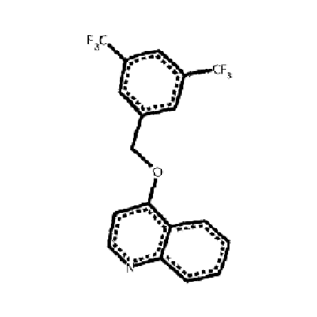 FC(F)(F)c1cc(COc2ccnc3ccccc23)cc(C(F)(F)F)c1